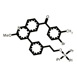 COc1cc(-c2cccc(CCO[Si](C(C)C)(C(C)C)C(C)C)c2)c2cc(C(=O)c3ccc(Br)c(C)c3)ccc2n1